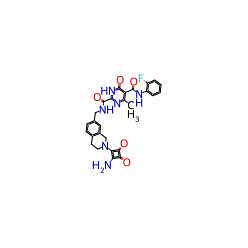 Cc1nc(C(=O)NCc2ccc3c(c2)CN(c2c(N)c(=O)c2=O)CC3)[nH]c(=O)c1C(=O)Nc1ccccc1F